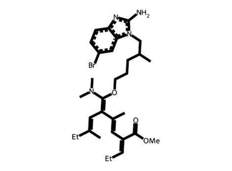 CC/C=C(\C=C(/C)C(/C=C(\C)CC)=C(OCCCC(C)Cn1c(N)nc2ccc(Br)cc21)N(C)C)C(=O)OC